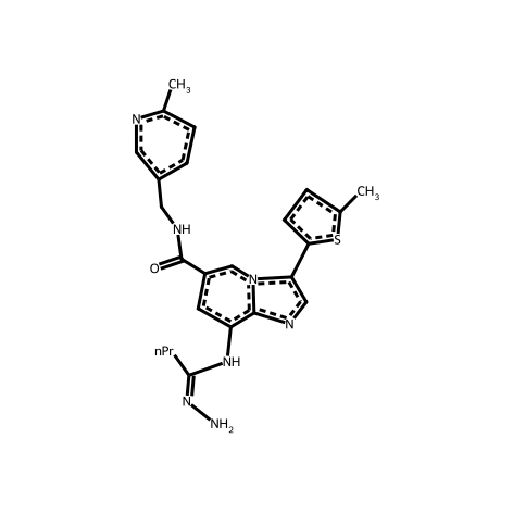 CCC/C(=N/N)Nc1cc(C(=O)NCc2ccc(C)nc2)cn2c(-c3ccc(C)s3)cnc12